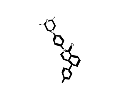 Cc1ccc(-c2cccc3c(=O)n(-c4ccc(N5C[C@@H](C)O[C@@H](C)C5)cc4)ccc23)cc1